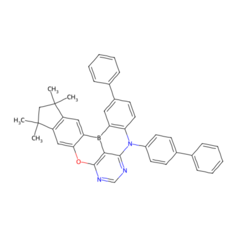 CC1(C)CC(C)(C)c2cc3c(cc21)Oc1ncnc2c1B3c1cc(-c3ccccc3)ccc1N2c1ccc(-c2ccccc2)cc1